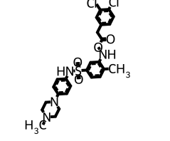 Cc1ccc(S(=O)(=O)Nc2ccc(N3CCN(C)CC3)cc2)cc1NOC(=O)Cc1ccc(Cl)c(Cl)c1